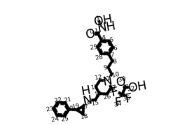 O=C(NO)c1ccc(CCCN2CCC(CNC3CC3c3ccccc3)CC2)cc1.O=C(O)C(F)(F)F